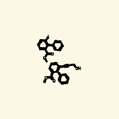 COC(=O)c1cccc(C#CCO)c1-c1ccccc1.COC(=O)c1cccc(I)c1-c1ccccc1